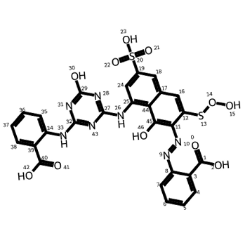 O=C(O)c1ccccc1N=Nc1c(SOO)cc2cc(S(=O)(=O)O)cc(Nc3nc(O)nc(Nc4ccccc4C(=O)O)n3)c2c1O